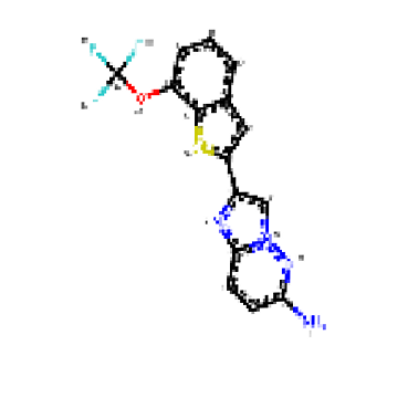 Nc1ccc2nc(-c3cc4cccc(OC(F)(F)F)c4s3)cn2n1